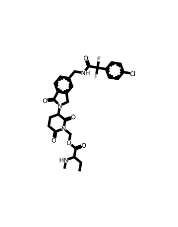 CCC(NC)C(=O)OCN1C(=O)CCC(N2Cc3cc(CNC(=O)C(F)(F)c4ccc(Cl)cc4)ccc3C2=O)C1=O